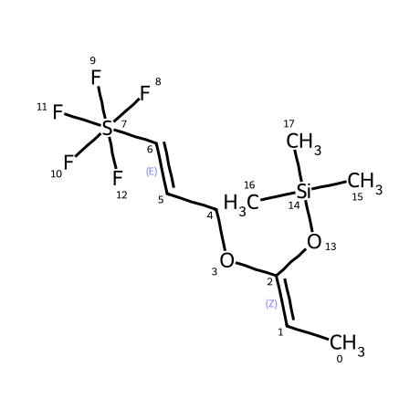 C/C=C(/OC/C=C/S(F)(F)(F)(F)F)O[Si](C)(C)C